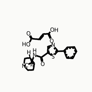 O=C(N[C@H]1CN2CCC1CC2)c1cnc(-c2ccccc2)s1.O=C(O)C=CC(=O)O